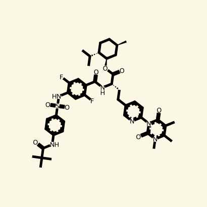 Cc1c(C)n(C)c(=O)n(-c2ccc(CC[C@H](NC(=O)c3cc(F)c(NS(=O)(=O)c4ccc(NC(=O)C(C)(C)C)cc4)cc3F)C(=O)O[C@@H]3C[C@H](C)CC[C@H]3C(C)C)cn2)c1=O